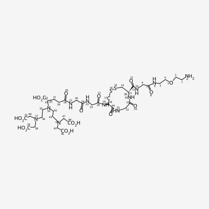 NCCOCCNC(=O)CNC(=O)[C@@H]1CSSC[C@H](NC(=O)CNC(=O)CNC(=O)CC[C@@H](C(=O)O)N(CCN(CC(=O)O)CC(=O)O)CCN(CC(=O)O)CC(=O)O)C(=O)NCC(=O)N1